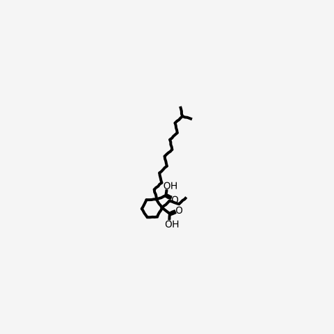 CCCC1(C(=O)O)CCCCC1(CCCCCCCCCC(C)C)C(=O)O